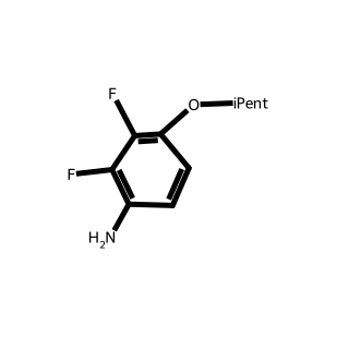 CCCC(C)Oc1ccc(N)c(F)c1F